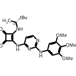 COc1cc(Nc2nccc(Nc3c(N[C@H](C)C(C)(C)C)c(=O)c3=O)n2)cc(OC)c1OC